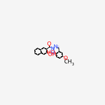 COc1ccc(O)c(/C=N\NC(=O)c2cc3ccccc3cc2O)c1